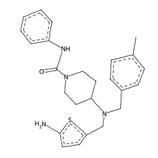 Cc1ccc(CN(Cc2ccc(N)s2)C2CCN(C(=O)Nc3ccccc3)CC2)cc1